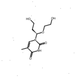 Cc1cn([C@@H](CCO)OCCO)c(=O)[nH]c1=O